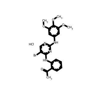 COc1cc(Nc2ncc(Br)c(Nc3ccccc3C(C)=O)n2)cc(OC)c1OC.Cl